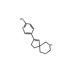 Oc1ccc(C2=CC3(CCCNC3)CC2)cn1